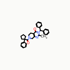 Cc1nc2c(c(=O)n1C(c1ccccc1)c1ccccc1)CCN(C(=O)C1(c3ccccc3)CCCC1)C2